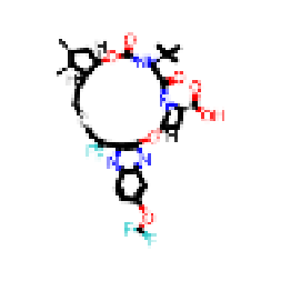 C[C@@H]1[C@H]2CCCCC(F)(F)c3nc4ccc(OC(F)F)cc4nc3O[C@@H]3C[C@@H](C(=O)O)N(C3)C(=O)[C@H](C(C)(C)C)NC(=O)O[C@@H]2C[C@@H]1C